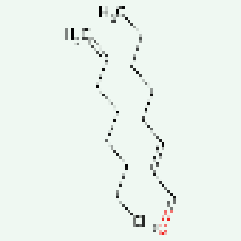 C=CCCCCCC.CCCCCC=CC=O